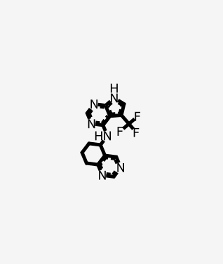 FC(F)(F)c1c[nH]c2ncnc(NC3CCCc4ncncc43)c12